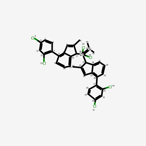 CC1=Cc2c(-c3ccc(Cl)cc3Cl)cccc2[CH]1[Zr]([Cl])([Cl])([CH]1C(C)=Cc2c(-c3ccc(Cl)cc3Cl)cccc21)=[Si](C)C